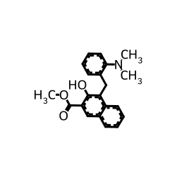 COC(=O)c1cc2ccccc2c(Cc2ccccc2N(C)C)c1O